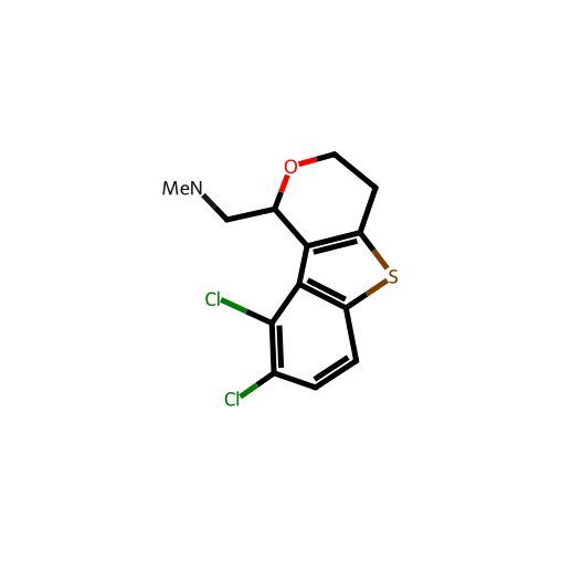 CNCC1OCCc2sc3ccc(Cl)c(Cl)c3c21